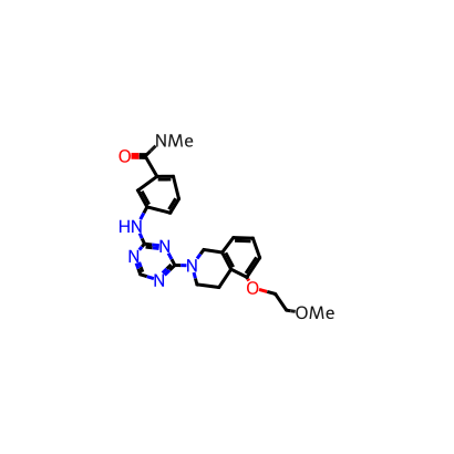 CNC(=O)c1cccc(Nc2ncnc(N3CCc4c(cccc4OCCOC)C3)n2)c1